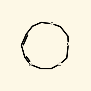 C1=CCCCCCCCCCCN=C1